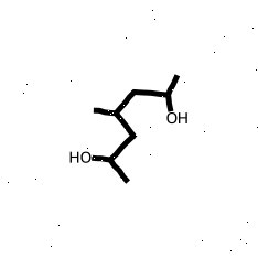 CC(O)CC(C)CC(C)O